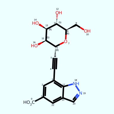 O=C(O)c1cc(C#C[C@H]2O[C@H](CO)[C@@H](O)[C@H](O)[C@@H]2O)c2[nH]ncc2c1